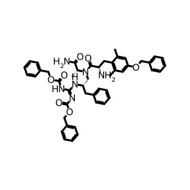 Cc1cc(OCc2ccccc2)cc(C)c1C[C@H](N)C(=O)N(C[C@H](Cc1ccccc1)N/C(=N/C(=O)OCc1ccccc1)NC(=O)OCc1ccccc1)[C@H](C)C(N)=O